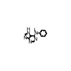 IN(c1ccccc1)c1ncnc2nc[nH]c12